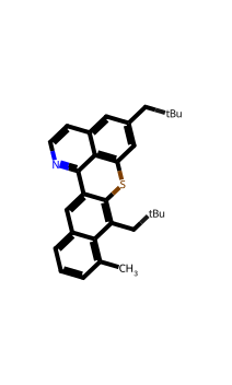 Cc1cccc2cc3c(c(CC(C)(C)C)c12)Sc1cc(CC(C)(C)C)cc2ccnc-3c12